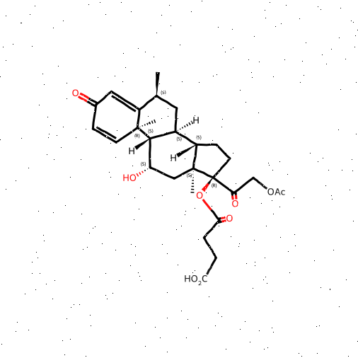 CC(=O)OCC(=O)[C@@]1(OC(=O)CCC(=O)O)CC[C@H]2[C@@H]3C[C@H](C)C4=CC(=O)C=C[C@]4(C)[C@H]3[C@@H](O)C[C@@]21C